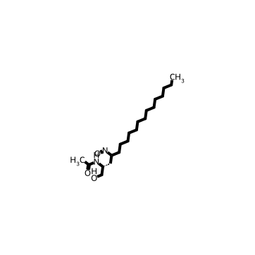 CCCCCCCCCCCCCCC(C[C@H](CO)NC(C)=O)N=O